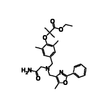 CCOC(=O)C(C)(C)Oc1c(C)cc(CN(CC(N)=O)Cc2nc(-c3ccccc3)oc2C)cc1C